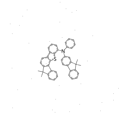 CC1(C)c2ccccc2-c2ccc(N(c3ccccc3)c3cccc4c3sc3c5c(ccc34)C(C)(C)c3ccccc3-5)cc21